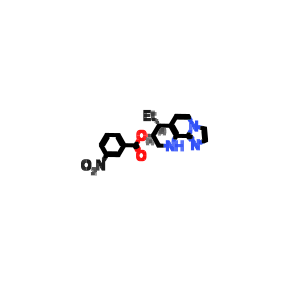 CC[C@@H]1c2ccn3ccnc3c2NC[C@@H]1OC(=O)c1cccc([N+](=O)[O-])c1